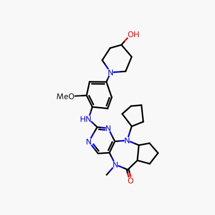 COc1cc(N2CCC(O)CC2)ccc1Nc1ncc2c(n1)N(C1CCCC1)C1CCCC1C(=O)N2C